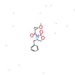 CO[C@H]1C[C@@H]1C(=O)N1C(=O)OC[C@H]1Cc1ccccc1